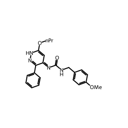 CCCOc1cc(=NC(=O)NCc2ccc(OC)cc2)c(-c2ccccc2)n[nH]1